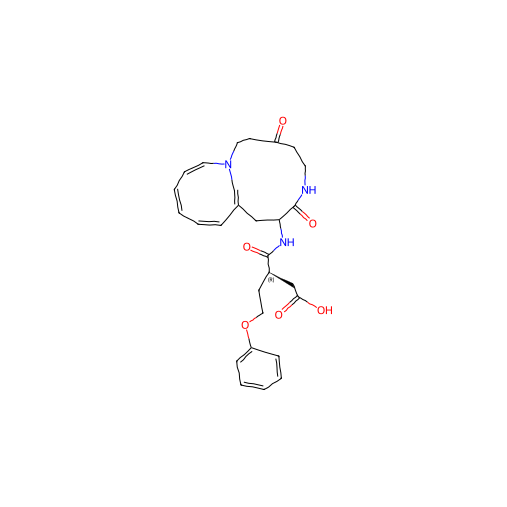 O=C(O)C[C@@H](CCOc1ccccc1)C(=O)NC1Cc2ccccccn(c2)CCC(=O)CCNC1=O